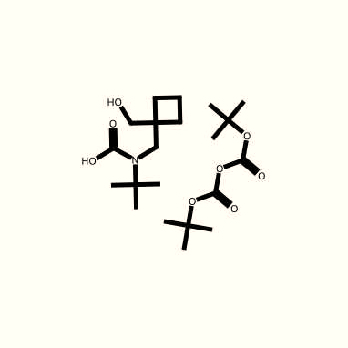 CC(C)(C)N(CC1(CO)CCC1)C(=O)O.CC(C)(C)OC(=O)OC(=O)OC(C)(C)C